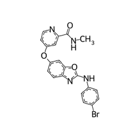 CNC(=O)c1cc(Oc2ccc3nc(Nc4ccc(Br)cc4)oc3c2)ccn1